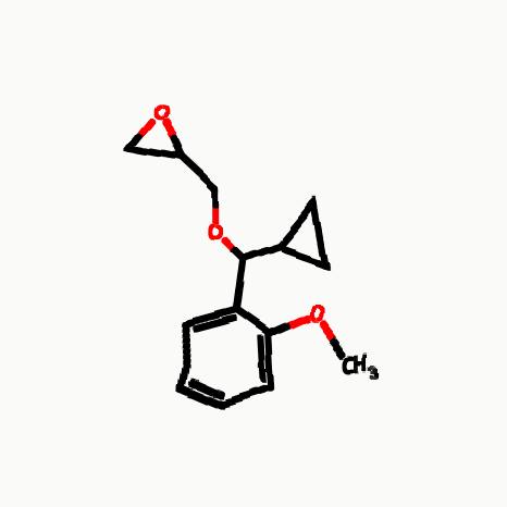 COc1ccccc1C(OCC1CO1)C1CC1